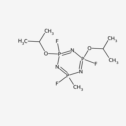 CC(C)OP1(F)=NP(C)(F)=NP(F)(OC(C)C)=N1